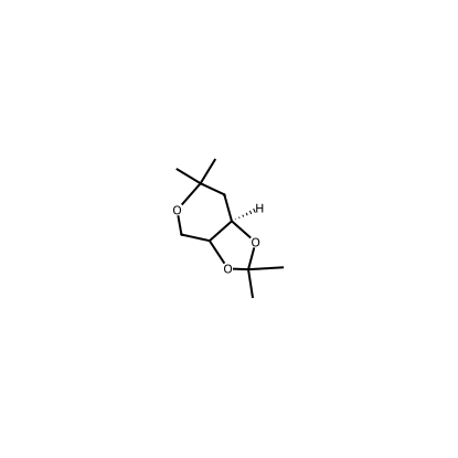 CC1(C)C[C@H]2OC(C)(C)OC2CO1